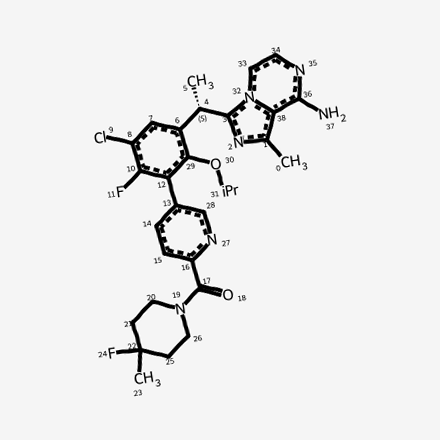 Cc1nc([C@@H](C)c2cc(Cl)c(F)c(-c3ccc(C(=O)N4CCC(C)(F)CC4)nc3)c2OC(C)C)n2ccnc(N)c12